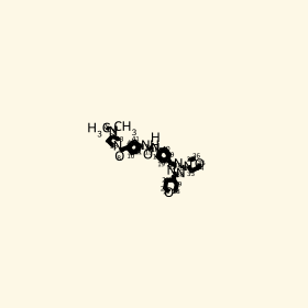 CN(C)C1CCN(C(=O)c2ccc(NC(=O)Nc3ccc(-c4nc(C5CCOCC5)nc(N5CCOCC5)n4)cc3)cc2)C1